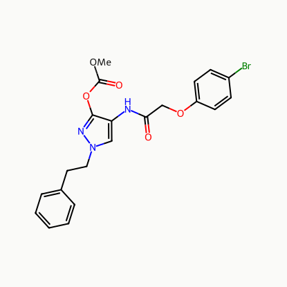 COC(=O)Oc1nn(CCc2ccccc2)cc1NC(=O)COc1ccc(Br)cc1